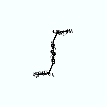 CC(C)(O)CCCCCC(=O)OC(C)(C)CCCCCCCCOc1ccc(C(=O)Oc2ccc3cc(OC(=O)c4ccc(OCCCCCCCCC(C)(C)OC(=O)CCCCCC(C)(C)O)cc4)ccc3c2)cc1